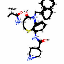 CN[C@@H](C)C(=O)N[C@H]1CSc2c(NC(=O)C3CCNCC3)cccc2N(Cc2cccc3ccccc23)C1=O